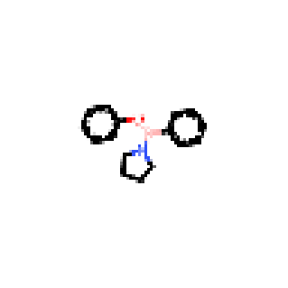 c1ccc(OB(c2ccccc2)N2CCCC2)cc1